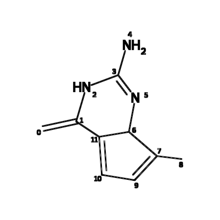 C=C1NC(N)=NC2C(C)=CC=C12